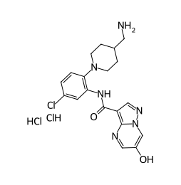 Cl.Cl.NCC1CCN(c2ccc(Cl)cc2NC(=O)c2cnn3cc(O)cnc23)CC1